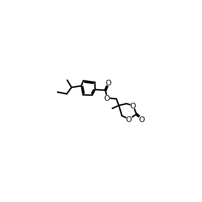 CCC(C)c1ccc(C(=O)OCC2(C)COC(=O)OC2)cc1